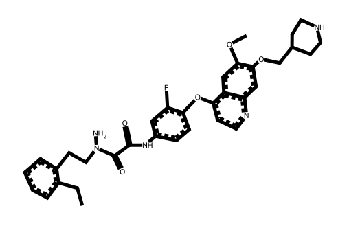 CCc1ccccc1CCN(N)C(=O)C(=O)Nc1ccc(Oc2ccnc3cc(OCC4CCNCC4)c(OC)cc23)c(F)c1